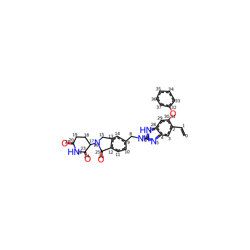 C=Cc1cc2nc(NCc3ccc4c(c3)CN(C3CCC(=O)NC3=O)C4=O)[nH]c2cc1Oc1ccccc1